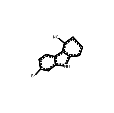 N#Cc1cccc2[nH]c3cc(Br)ccc3c12